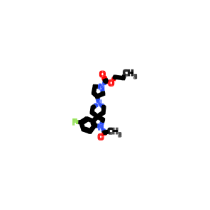 CCCOC(=O)N1CCC(N2CCC3(CC2)CN(C(C)=O)c2ccc(F)cc23)C1